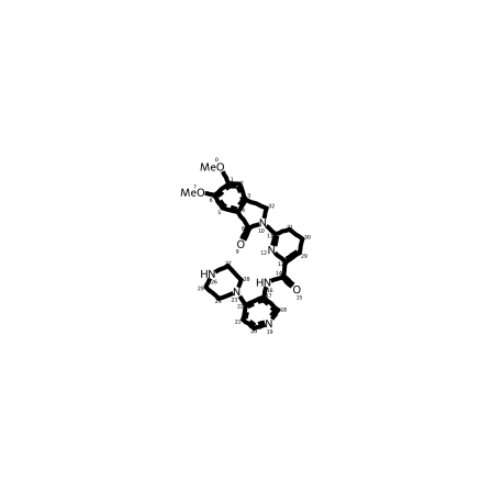 COc1cc2c(cc1OC)C(=O)N(C1=NC(C(=O)Nc3cnccc3N3CCNCC3)=CCC1)C2